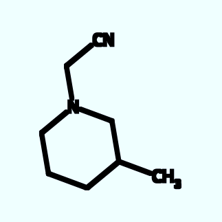 CC1CCCN(CC#N)C1